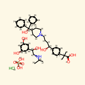 CC(C)(C(=O)O)c1ccc(C(O)CCCN2CCC(C(O)(c3ccccc3)c3ccccc3)CC2)cc1.CC(C)NCC(O)c1cc(O)cc(O)c1.Cl.O=S(=O)(O)O